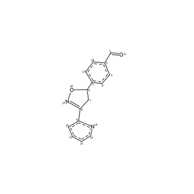 O=[C]c1ccc(C2CC(c3ccccn3)=NO2)cc1